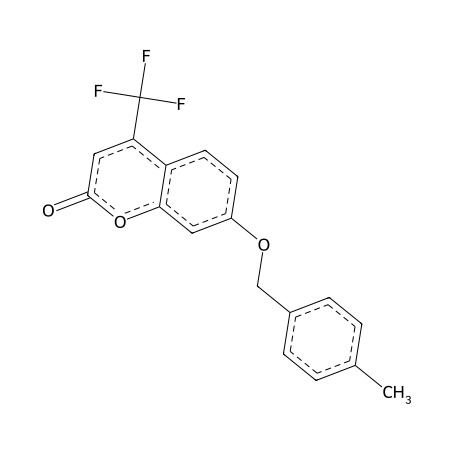 Cc1ccc(COc2ccc3c(C(F)(F)F)cc(=O)oc3c2)cc1